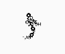 Cc1c(-c2ccc(Oc3ccc(OC(F)(F)F)cc3)cc2)sc2c1c(=O)n(Cc1ccccc1)c(=O)n2CC(C)CO